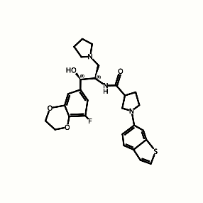 O=C(N[C@H](CN1CCCC1)[C@H](O)c1cc(F)c2c(c1)OCCO2)C1CCN(c2ccc3ccsc3c2)C1